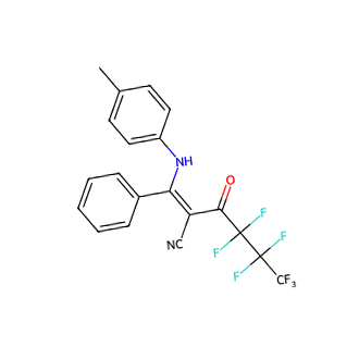 Cc1ccc(NC(=C(C#N)C(=O)C(F)(F)C(F)(F)C(F)(F)F)c2ccccc2)cc1